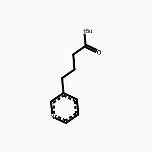 CC(C)(C)C(=O)CCCc1cccnc1